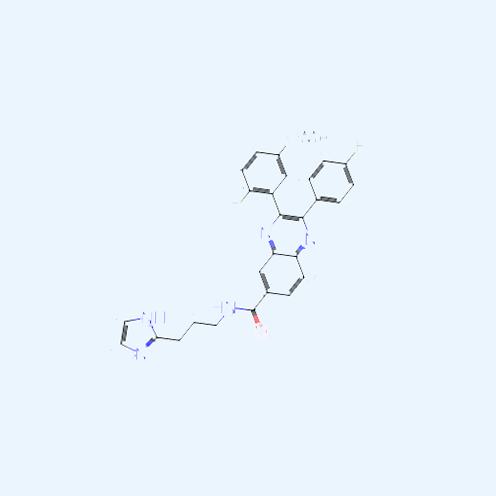 COc1ccc(F)c(-c2nc3cc(C(=O)NCCCc4ncc[nH]4)ccc3nc2-c2ccc(F)cc2)c1